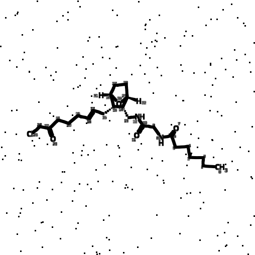 CCCCCCC(=O)NCC(=O)NC[C@@H]1[C@H](CC=CCCCC(=O)CCl)[C@@H]2CC[C@H]1O2